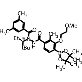 CC[C@@H](N(NC(=O)c1ccc(B2OC(C)(C)C(C)(C)O2)c(OCCOC)c1C)C(=O)c1cc(C)cc(C)c1)C(C)(C)C